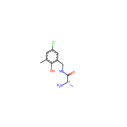 Cc1cc(Cl)cc(CNC(=O)[C@H](C)N)c1O